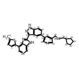 Cc1ccc(-c2cncc3[nH]c(-c4n[nH]c5ccc(-c6cncc(CNCC7CCCC7)c6)cc45)nc23)s1